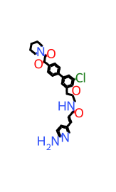 Nc1ccc(/C=C/C(=O)NCC2Cc3cc(-c4ccc(C(=O)C(=O)N5CCCCC5)cc4)cc(Cl)c3O2)cn1